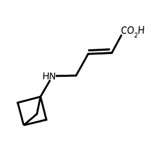 O=C(O)/C=C/CNC12CC(C1)C2